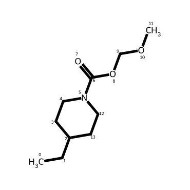 CCC1CCN(C(=O)OCOC)CC1